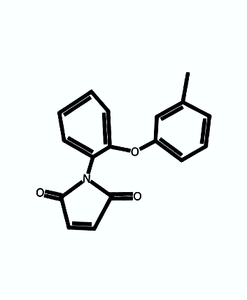 Cc1cccc(Oc2ccccc2N2C(=O)C=CC2=O)c1